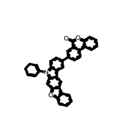 O=c1oc2ccccc2c2ccc(-c3ccc4c(c3)c3cc5c(cc3n4C3=CCCC=C3)oc3ccccc35)cc12